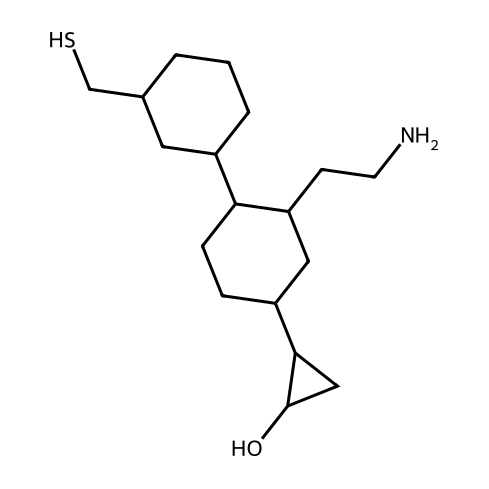 NCCC1CC(C2CC2O)CCC1C1CCCC(CS)C1